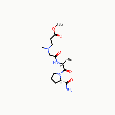 CN(CCC(=O)OC(C)(C)C)CC(=O)N[C@H](C(=O)N1CCC[C@H]1C(N)=O)C(C)(C)C